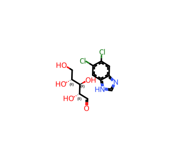 Clc1cc2nc[nH]c2cc1Cl.O=C[C@H](O)[C@H](O)[C@H](O)CO